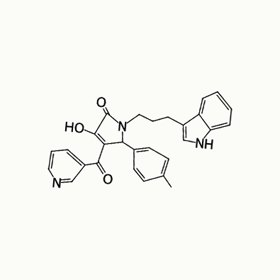 Cc1ccc(C2C(C(=O)c3cccnc3)=C(O)C(=O)N2CCCc2c[nH]c3ccccc23)cc1